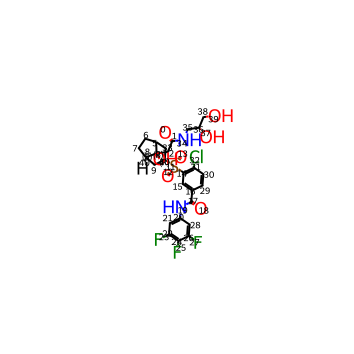 O=C(C[C@@]1(O)C2CC[C@H]1C[C@H](S(=O)(=O)c1cc(C(=O)Nc3cc(F)c(F)c(F)c3)ccc1Cl)C2)NCC(O)CO